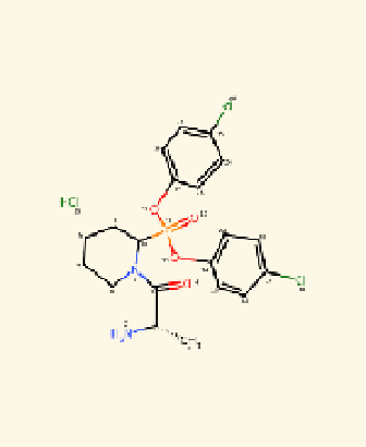 C[C@H](N)C(=O)N1CCCCC1P(=O)(Oc1ccc(Cl)cc1)Oc1ccc(Cl)cc1.Cl